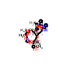 COc1ccc(S(=O)(=O)N(CC(C)C)C[C@@H](O)[C@H](Cc2ccccc2)NC(=O)C(Cc2ccccc2)NC(=O)CC/C=C/C[C@@H]2/C=C(\C)C[C@H](C)C[C@H](OC)[C@H]3O[C@@](O)(C(=O)C(=O)N4CCCC[C@H]4C(=O)O[C@H](/C(C)=C/[C@@H]4CC[C@@H](O)[C@H](OC)C4)[C@H](C)[C@@H](O)CC2=O)[C@H](C)C[C@@H]3OC)cc1